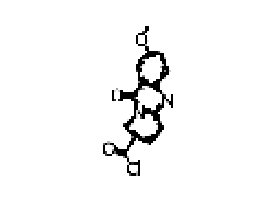 COc1ccc2nc3ccc(C(=O)Cl)cn3c(=O)c2c1